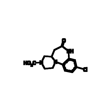 O=C1CC2CN(C(=O)O)CCN2c2ccc(Cl)cc2N1